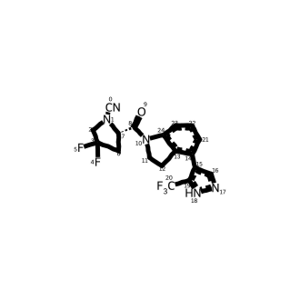 N#CN1CC(F)(F)C[C@H]1C(=O)N1CCc2c(-c3cn[nH]c3C(F)(F)F)cccc21